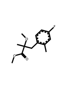 COC(=O)C(C)(Cc1ccc(F)cc1C)OC